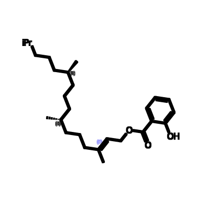 C/C(=C\COC(=O)c1ccccc1O)CCC[C@H](C)CCC[C@H](C)CCCC(C)C